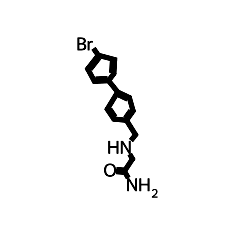 NC(=O)CNCc1ccc(-c2ccc(Br)cc2)cc1